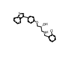 O[C@H](CNCc1ccccc1Cl)COc1ccc(-c2csc3ccccc23)cc1